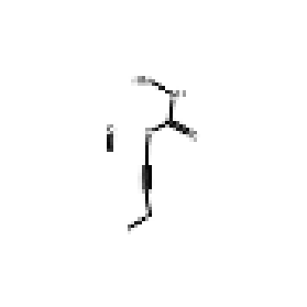 C=O.CCCCNC(=O)OC#CCI